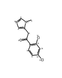 Cn1cncc1CC(=O)c1ccc(Cl)cc1Cl